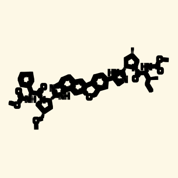 CC[C@H](C)[C@H](NC(=O)OC)C(=O)N1C[C@@H](C)C[C@H]1c1ncc(-c2ccc3c(c2)COc2cc4c(ccc5nc([C@@H]6C[C@H](COC)CN6C(=O)[C@H](NC(=O)OC)c6ccccc6)[nH]c54)cc2-3)[nH]1